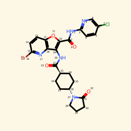 O=C(Nc1ccc(Cl)cn1)c1oc2ccc(Br)nc2c1NC(=O)[C@H]1CC[C@H](N2CCCC2=O)CC1